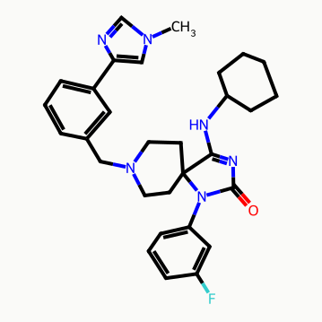 Cn1cnc(-c2cccc(CN3CCC4(CC3)C(NC3CCCCC3)=NC(=O)N4c3cccc(F)c3)c2)c1